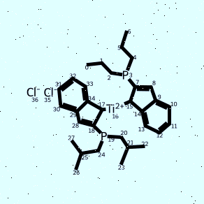 CCCP(CCC)C1=Cc2ccccc2[CH]1[Ti+2][CH]1C(P(CC(C)C)CC(C)C)=Cc2ccccc21.[Cl-].[Cl-]